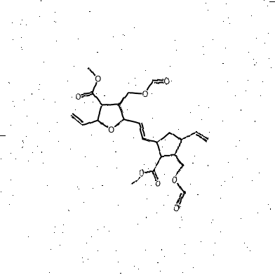 C=CC1CC(C=CC2OC(C=C)C(C(=O)OC)C2COC=O)C(C(=O)OC)C1COC=O